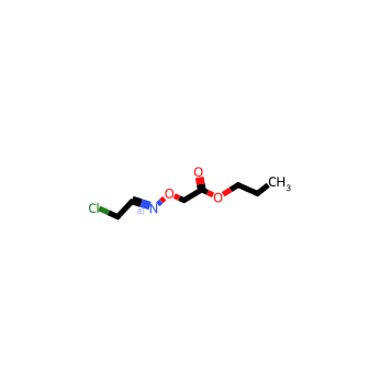 CCCOC(=O)CO/N=C/CCl